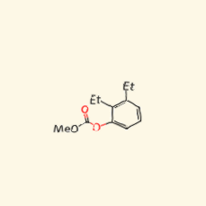 CCc1cccc(OC(=O)OC)c1CC